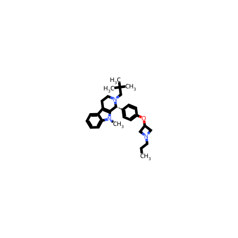 CCCN1CC(Oc2ccc([C@@H]3c4c(c5ccccc5n4C)CCN3CC(C)(C)C)cc2)C1